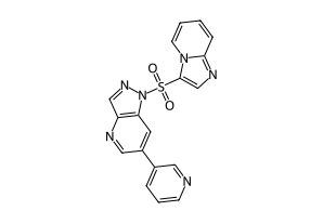 O=S(=O)(c1cnc2ccccn12)n1ncc2ncc(-c3cccnc3)cc21